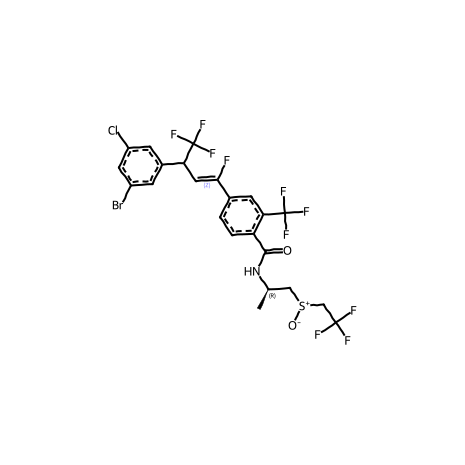 C[C@H](C[S+]([O-])CC(F)(F)F)NC(=O)c1ccc(/C(F)=C/C(c2cc(Cl)cc(Br)c2)C(F)(F)F)cc1C(F)(F)F